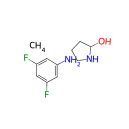 C.Nc1cc(F)cc(F)c1.OC1CCCN1